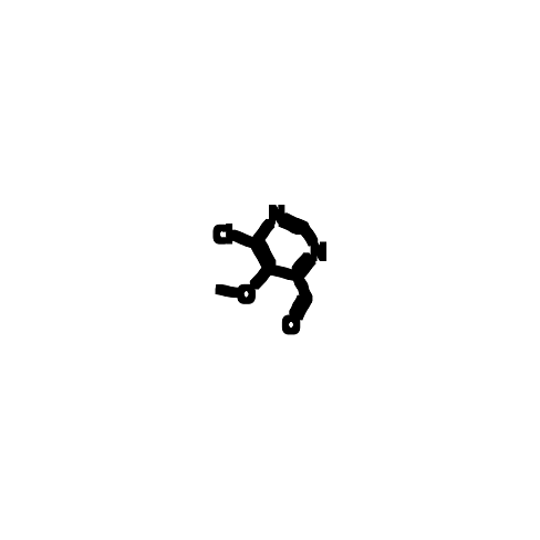 COc1c(Cl)ncnc1C=O